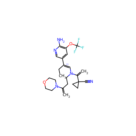 C=C(CCN(/C=C(\CC)c1cnc(N)c(OC(F)(F)F)c1)C(=C)C1(C#N)CC1)N1CCOCC1